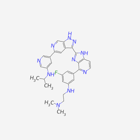 CC(C)Nc1cncc(-c2cc3c(-c4nc5c(-c6cc(F)cc(NCCN(C)C)c6)nccc5[nH]4)n[nH]c3cn2)c1